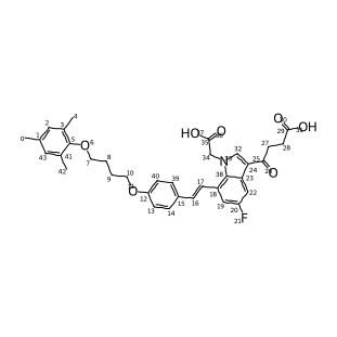 Cc1cc(C)c(OCCCCOc2ccc(C=Cc3cc(F)cc4c(C(=O)CCC(=O)O)cn(CC(=O)O)c34)cc2)c(C)c1